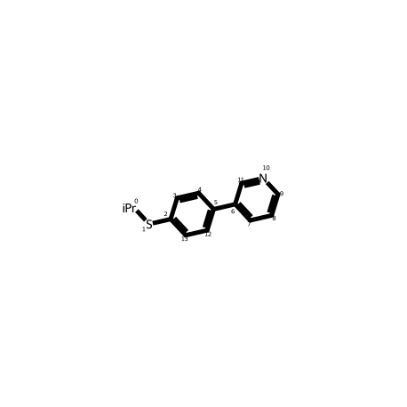 CC(C)Sc1ccc(-c2cccnc2)cc1